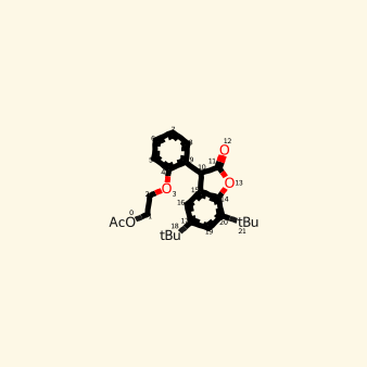 CC(=O)OCCOc1ccccc1C1C(=O)Oc2c1cc(C(C)(C)C)cc2C(C)(C)C